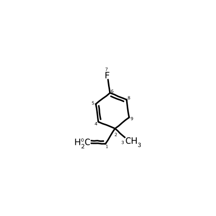 C=CC1(C)C=CC(F)=CC1